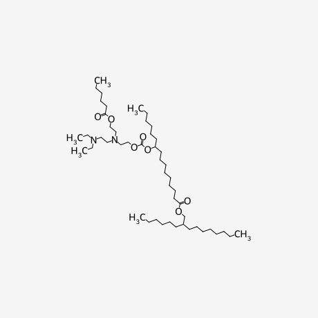 CCCCCCCCC(CCCCCC)COC(=O)CCCCCCCCC(CCCCCC)OC(=O)OCCN(CCOC(=O)CCCCC)CCN(CC)CC